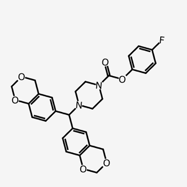 O=C(Oc1ccc(F)cc1)N1CCN(C(c2ccc3c(c2)COCO3)c2ccc3c(c2)COCO3)CC1